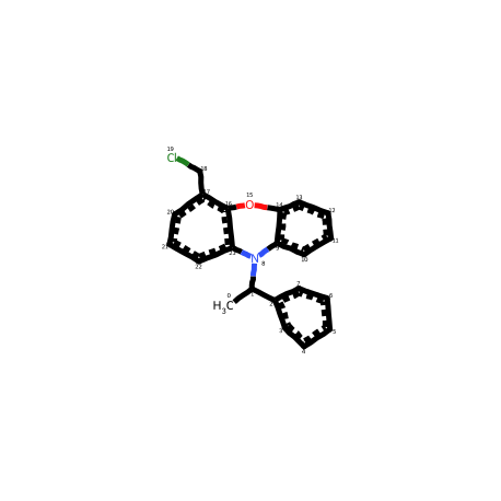 CC(c1ccccc1)N1c2ccccc2Oc2c(CCl)cccc21